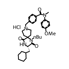 CCCCN1C(=O)[C@H](CC2CCCCC2)NC(=O)C12CCN(Cc1ccc(C(=O)N(C)c3ccc(OC)cc3)cc1)CC2.Cl